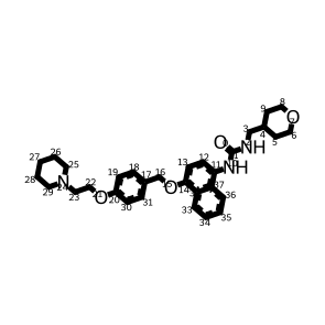 O=C(NCC1CCOCC1)Nc1ccc(OCc2ccc(OCCN3CCCCC3)cc2)c2ccccc12